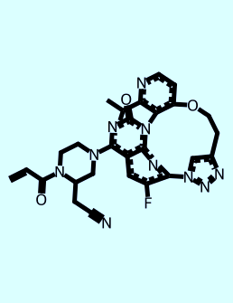 C=CC(=O)N1CCN(c2nc(=O)n3c4nc(c(F)cc24)-n2cc(nn2)CCOc2ccnc(C(C)C)c2-3)CC1CC#N